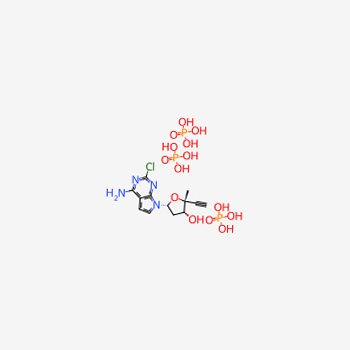 C#C[C@@]1(C)O[C@@H](n2ccc3c(N)nc(Cl)nc32)C[C@@H]1O.O=P(O)(O)O.O=P(O)(O)O.O=P(O)(O)O